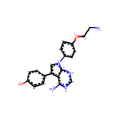 NCCOc1ccc(-n2cc(-c3ccc(O)cc3)c3c(N)ncnc32)cc1